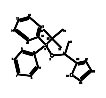 CC(O[Si](c1ccccc1)(c1ccccc1)C(C)(C)C)c1ccco1